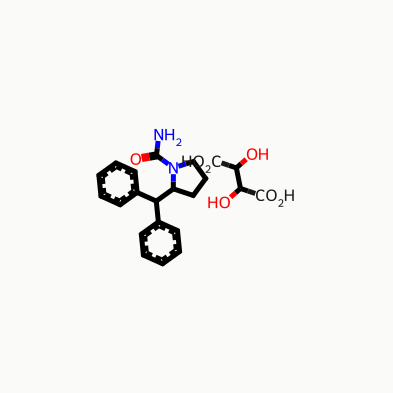 NC(=O)N1CCCC1C(c1ccccc1)c1ccccc1.O=C(O)C(O)C(O)C(=O)O